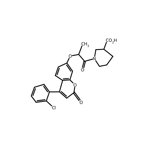 CC(Oc1ccc2c(-c3ccccc3Cl)cc(=O)oc2c1)C(=O)N1CCCC(C(=O)O)C1